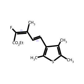 CCOC(=O)/C(F)=C(C)\C=C\c1c(C)sc(C)c1C